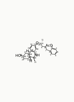 CC(=O)Oc1ccccc1CCC[C@@H](C)Oc1ccc2c(c1)N[C@@H](C)[C@@H]1CC[C@@H](O)C[C@@H]21